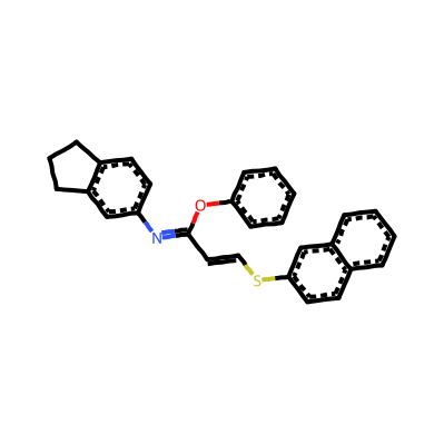 C(=C\C(=N\c1ccc2c(c1)CCC2)Oc1ccccc1)/Sc1ccc2ccccc2c1